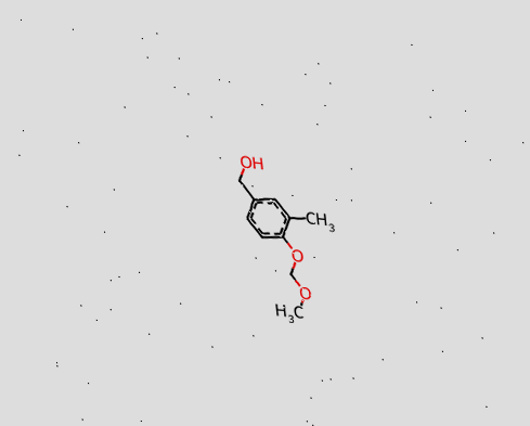 COCOc1ccc(CO)cc1C